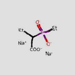 CCC(C(=O)[O-])P(=O)([O-])CC.[Na+].[Na+]